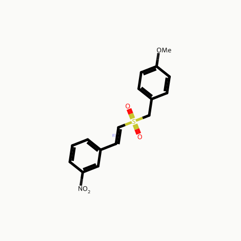 COc1ccc(CS(=O)(=O)/C=C/c2cccc([N+](=O)[O-])c2)cc1